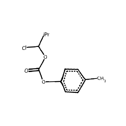 Cc1ccc(OC(=O)OC(Cl)C(C)C)cc1